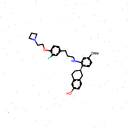 COc1ccc([C@@H]2CCc3cc(O)ccc3C2)c(NCCCc2ccc(OCCN3CCC3)c(F)c2)c1